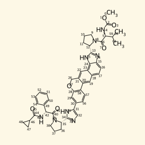 COC(=O)N[C@H](C(=O)N1CCC[C@H]1c1nc2ccc3cc4c(cc3c2[nH]1)COc1cc(-c2cnc([C@@H]3CCCN3C(=O)[C@H](NC(=O)C3CC3)c3ccccc3)[nH]2)ccc1-4)C(C)C